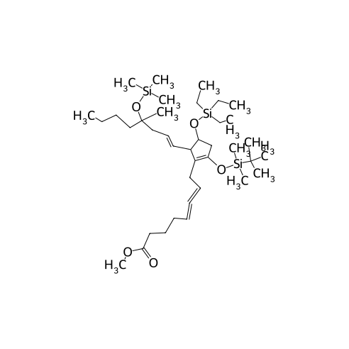 CCCCC(C)(C/C=C/C1C(CC=C=CCCCC(=O)OC)=C(O[Si](C)(C)C(C)(C)C)CC1O[Si](CC)(CC)CC)O[Si](C)(C)C